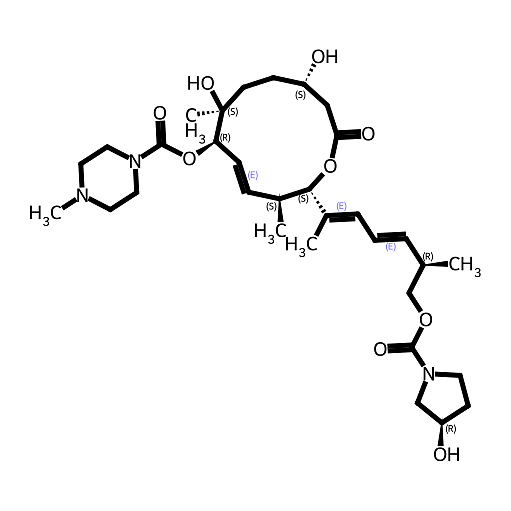 C/C(=C\C=C\[C@@H](C)COC(=O)N1CC[C@@H](O)C1)[C@H]1OC(=O)C[C@@H](O)CC[C@](C)(O)[C@H](OC(=O)N2CCN(C)CC2)/C=C/[C@@H]1C